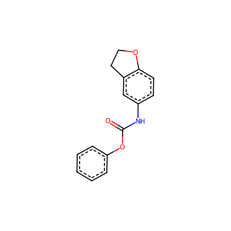 O=C(Nc1ccc2c(c1)CCO2)Oc1ccccc1